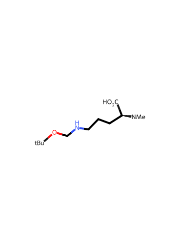 CN[C@@H](CCCNCOC(C)(C)C)C(=O)O